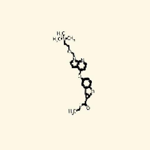 CCOC(=O)C1C2Oc3ccc(Oc4ccnc5c4ccn5COCC[Si](C)(C)C)cc3C21